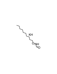 CCCCCCCCCCONC=O.[KH]